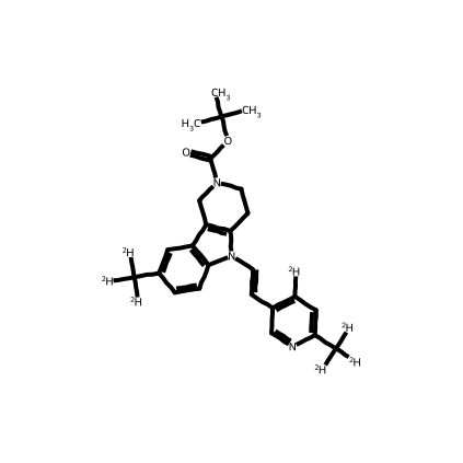 [2H]c1cc(C([2H])([2H])[2H])ncc1C=Cn1c2c(c3cc(C([2H])([2H])[2H])ccc31)CN(C(=O)OC(C)(C)C)CC2